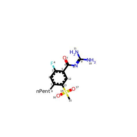 CCCCCc1cc(F)c(C(=O)N=C(N)N)cc1S(C)(=O)=O